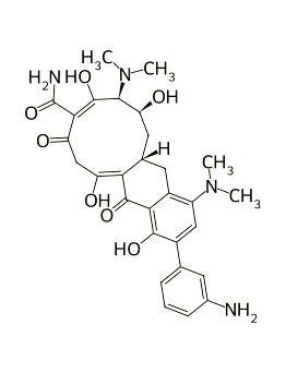 CN(C)c1cc(-c2cccc(N)c2)c(O)c2c1C[C@H]1C[C@H](O)[C@H](N(C)C)/C(O)=C(/C(N)=O)C(=O)C/C(O)=C\1C2=O